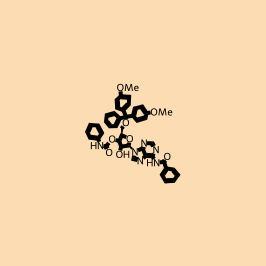 COc1ccc(C(OC[C@H]2O[C@@H](n3cnc4c(NC(=O)c5ccccc5)ncnc43)C(O)C2OC(=O)Nc2ccccc2)(c2ccccc2)c2ccc(OC)cc2)cc1